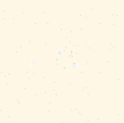 CCc1cccc(-c2c(F)cccc2[C@](O)(CCCNC(=O)O)[C@@H]2CCCN(C(=O)CCCCCN)C2)c1